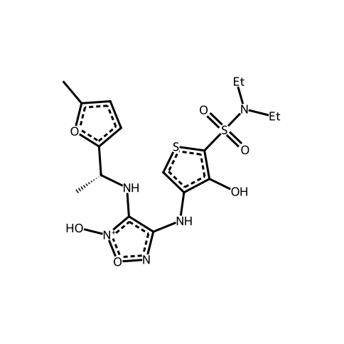 CCN(CC)S(=O)(=O)c1scc(Nc2no[n+](O)c2N[C@H](C)c2ccc(C)o2)c1O